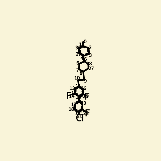 Cc1ccc(C2CCC(CCc3cc(F)c(-c4ccc(Cl)c(F)c4)c(F)c3)CC2)cc1